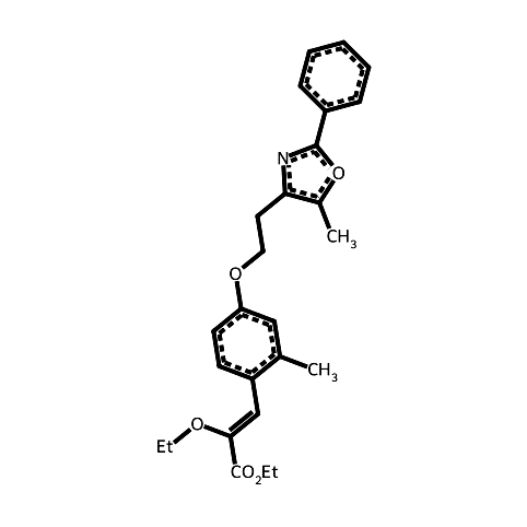 CCOC(=O)C(=Cc1ccc(OCCc2nc(-c3ccccc3)oc2C)cc1C)OCC